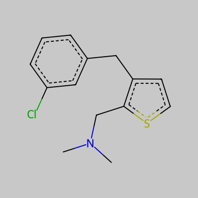 CN(C)Cc1sccc1Cc1cccc(Cl)c1